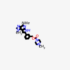 CNc1nc2[nH]c(-c3cccc(COC(=O)N4CCN(C)CC4)c3)cc2c2c1ncn2C